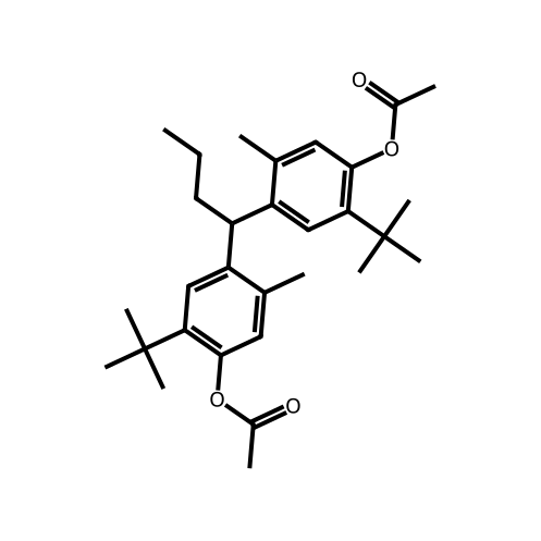 CCCC(c1cc(C(C)(C)C)c(OC(C)=O)cc1C)c1cc(C(C)(C)C)c(OC(C)=O)cc1C